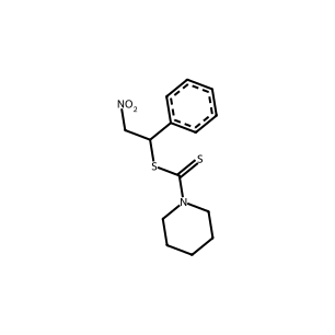 O=[N+]([O-])CC(SC(=S)N1CCCCC1)c1ccccc1